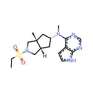 CCS(=O)(=O)N1C[C@H]2C[C@@H](N(C)c3ncnc4[nH]ccc34)C[C@@]2(C)C1